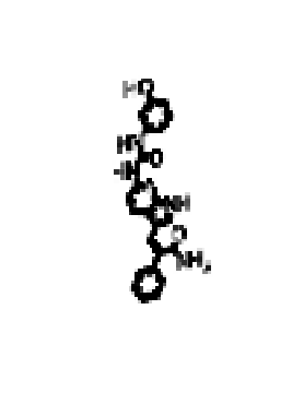 NC(=O)C(=Cc1c[nH]c2nc(NC(=O)Nc3cccc(O)c3)ccc12)c1ccccc1